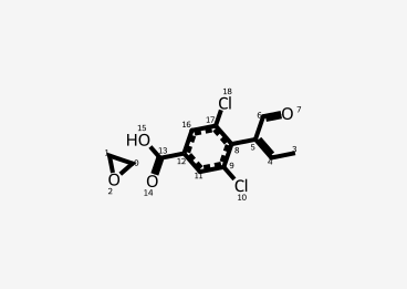 C1CO1.CC=C(C=O)c1c(Cl)cc(C(=O)O)cc1Cl